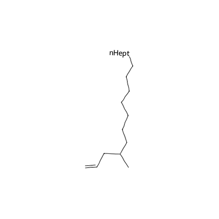 C=CCC(C)CCCCCCCCCCCCCC